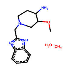 COC1CN(Cc2nc3ccccc3[nH]2)CCC1N.O.O